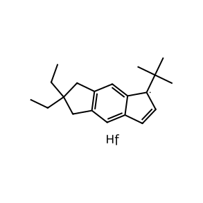 CCC1(CC)Cc2cc3c(cc2C1)[C](C(C)(C)C)C=C3.[Hf]